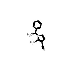 CC(c1ccccc1)n1ccc(C#N)c1N